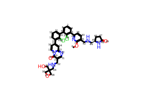 COc1nc(-c2cccc(-c3cccc(-c4ccn5c(=O)c(CNCC6(CO)COC6)cnc5c4)c3Cl)c2Cl)ccc1CNC[C@H]1CCC(=O)N1